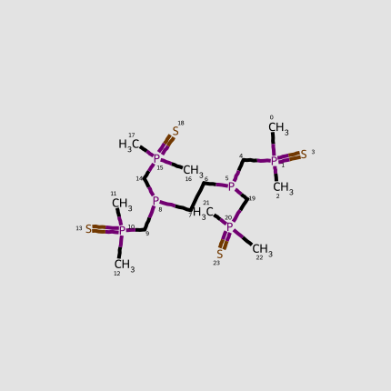 CP(C)(=S)CP(CCP(CP(C)(C)=S)CP(C)(C)=S)CP(C)(C)=S